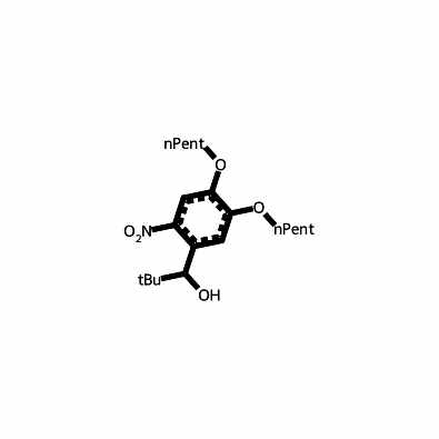 CCCCCOc1cc(C(O)C(C)(C)C)c([N+](=O)[O-])cc1OCCCCC